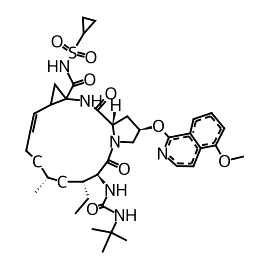 CC[C@@H]1C[C@H](C)CC/C=C\C2CC2(C(=O)NS(=O)(=O)C2CC2)NC(=O)[C@@H]2C[C@@H](Oc3nccc4c(OC)cccc34)CN2C(=O)[C@H]1NC(=O)NC(C)(C)C